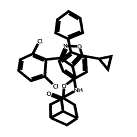 O=C(Nc1ccc(-c2ccccc2)cc1)C1C2CC(OCc3c(-c4c(Cl)cccc4Cl)noc3C3CC3)CC1C2